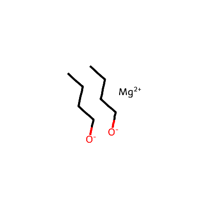 CCCC[O-].CCCC[O-].[Mg+2]